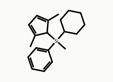 CC1=CC=C(C)[C]1[Si](C)(c1ccccc1)C1CCCCC1